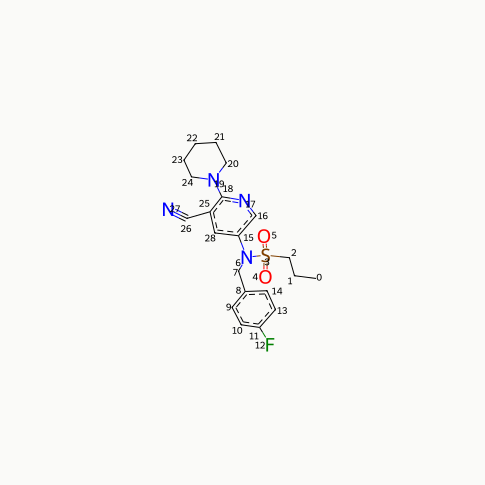 CCCS(=O)(=O)N(Cc1ccc(F)cc1)c1cnc(N2CCCCC2)c(C#N)c1